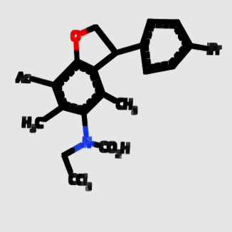 CC(=O)c1c(C)c(N(CC(Cl)(Cl)Cl)C(=O)O)c(C)c2c1OCC2c1ccc(C(C)C)cc1